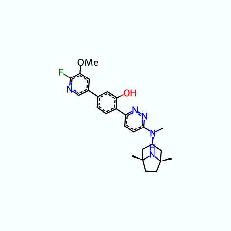 COc1cc(-c2ccc(-c3ccc(N(C)[C@H]4C[C@]5(C)CC[C@](C)(C4)N5)nn3)c(O)c2)cnc1F